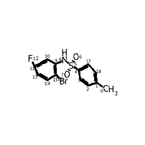 Cc1ccc(S(=O)(=O)Nc2cc(F)ccc2Br)cc1